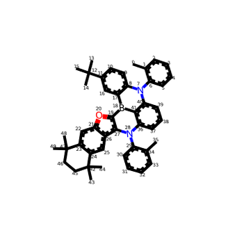 Cc1ccccc1N1c2ccc(C(C)(C)C)cc2B2c3oc4cc5c(cc4c3N(c3ccccc3C)c3cccc1c32)C(C)(C)CCC5(C)C